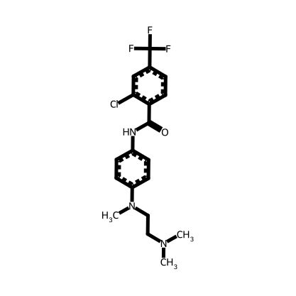 CN(C)CCN(C)c1ccc(NC(=O)c2ccc(C(F)(F)F)cc2Cl)cc1